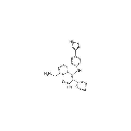 NCc1cccc(C(Nc2ccc(-c3c[nH]cn3)cc2)=C2C(=O)Nc3ccccc32)c1